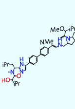 C=C(C(OC)C(C)C)N1C(CN/C=C(\NC)c2ccc(-c3ccc(-c4cnc([C@H](CC(C)C)N(C)C(=O)C(O)C(C)C)[nH]4)cc3)cc2)C[C@@H](C)[C@@H]1C